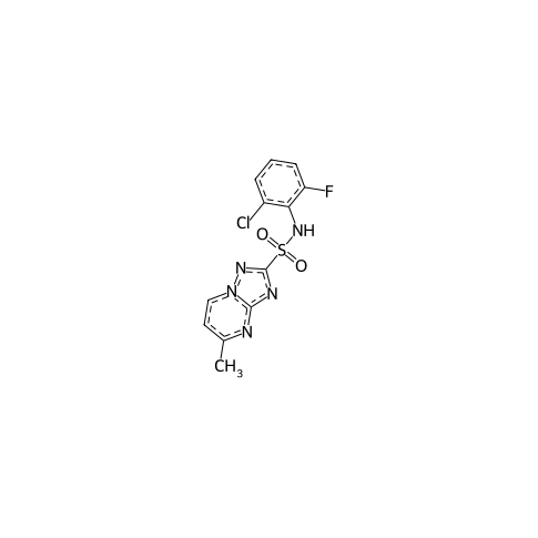 Cc1ccn2nc(S(=O)(=O)Nc3c(F)cccc3Cl)nc2n1